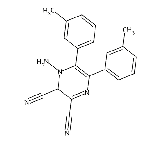 Cc1cccc(C2=C(c3cccc(C)c3)N(N)C(C#N)C(C#N)=N2)c1